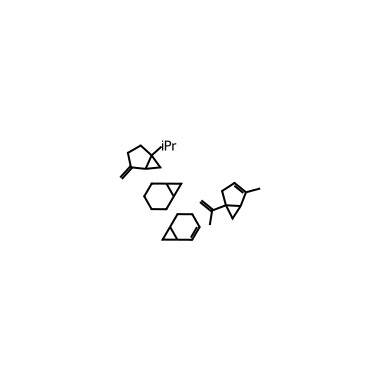 C1=CC2CC2CC1.C1CCC2CC2C1.C=C(C)C12CC=C(C)C1C2.C=C1CCC2(C(C)C)CC12